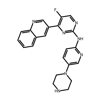 Fc1cnc(Nc2ccc(N3CCNCC3)cn2)nc1-c1cnc2ccccc2c1